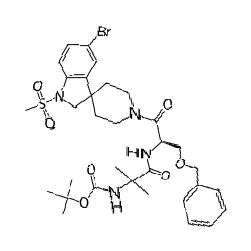 CC(C)(C)OC(=O)NC(C)(C)C(=O)N[C@H](COCc1ccccc1)C(=O)N1CCC2(CC1)CN(S(C)(=O)=O)c1ccc(Br)cc12